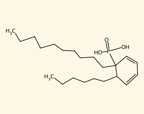 CCCCCCCCCCC1(P(=O)(O)O)C=CC=CC1CCCCCC